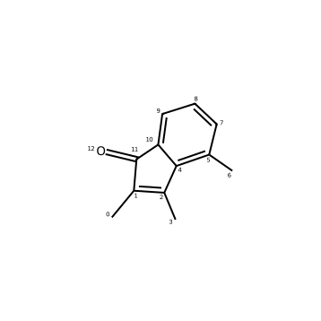 CC1=C(C)c2c(C)cccc2C1=O